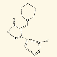 O=C1ON=C(c2cccc(Cl)c2)C1=CN1CCCCC1